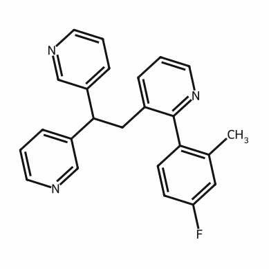 Cc1cc(F)ccc1-c1ncccc1CC(c1cccnc1)c1cccnc1